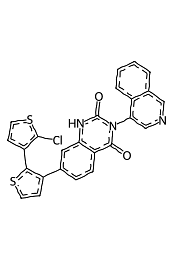 O=c1[nH]c2cc(-c3ccsc3-c3ccsc3Cl)ccc2c(=O)n1-c1cncc2ccccc12